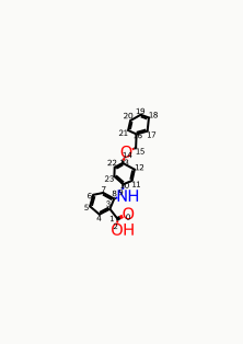 O=C(O)c1ccccc1Nc1ccc(OCc2ccccc2)cc1